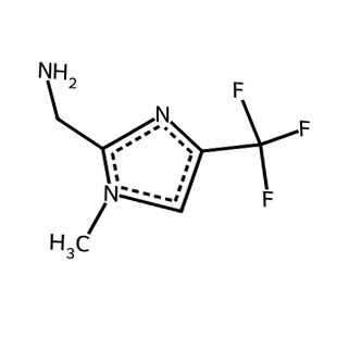 Cn1cc(C(F)(F)F)nc1CN